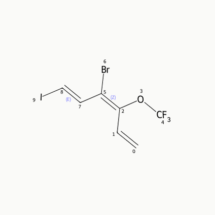 C=C/C(OC(F)(F)F)=C(Br)\C=C\I